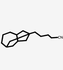 N#CCCCCC12CC3CCCC(C1)C(C3)C2